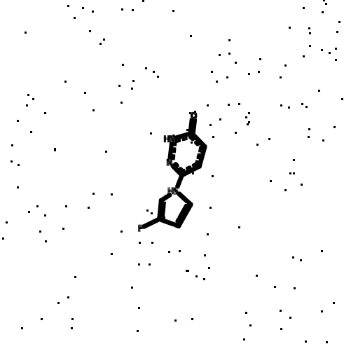 O=c1ccc([SH]2C=CC(F)=C2)n[nH]1